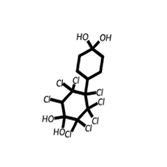 OC1(O)CCC(C2(Cl)C(Cl)(Cl)C(Cl)C(O)(O)C(Cl)(Cl)C2(Cl)Cl)CC1